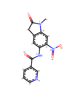 CN1C(=O)Cc2cc(NC(=O)c3cccnc3)c([N+](=O)[O-])cc21